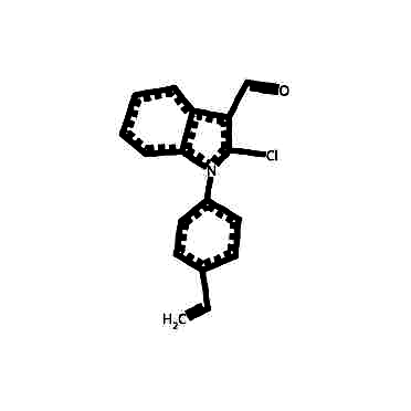 C=Cc1ccc(-n2c(Cl)c(C=O)c3ccccc32)cc1